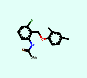 COC(=S)Nc1cccc(Br)c1COc1ccc(C)cc1C